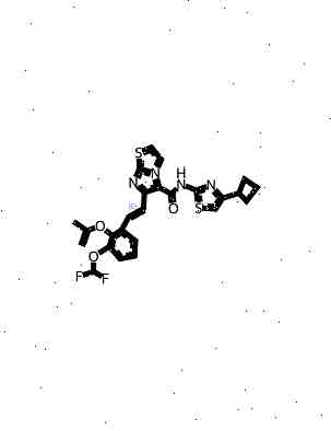 C=C(C)Oc1c(/C=C/c2nc3sccn3c2C(=O)Nc2nc(C3CCC3)cs2)cccc1OC(F)F